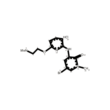 CNCCOc1cccc(Nc2cc(Br)cn(C)c2=O)n1.Cl